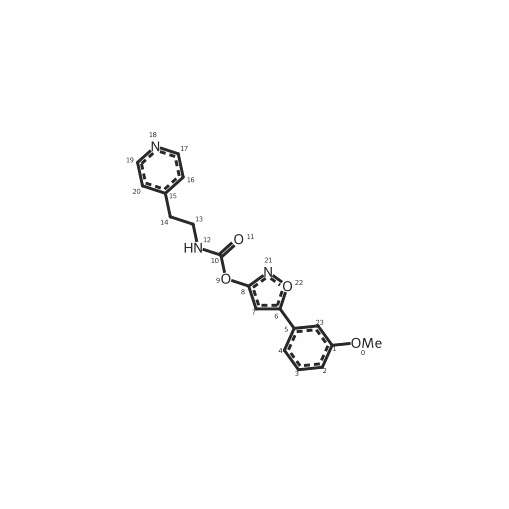 COc1cccc(-c2cc(OC(=O)NCCc3ccncc3)no2)c1